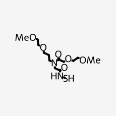 COCCOCCCN(CC(=O)NS)C(=O)COCCOC